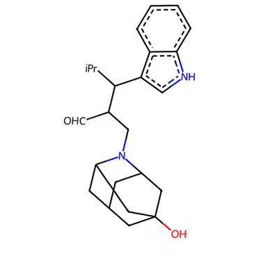 CC(C)C(c1c[nH]c2ccccc12)C(C=O)CN1C2CC3CC1CC(O)(C3)C2